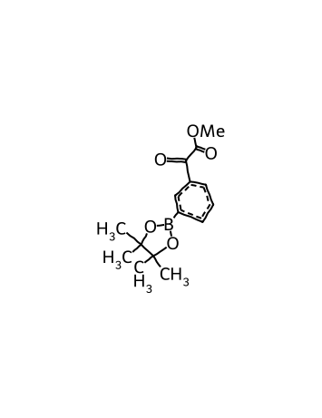 COC(=O)C(=O)c1cccc(B2OC(C)(C)C(C)(C)O2)c1